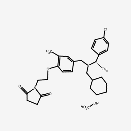 Cc1cc(CN(CC2CCCCC2)[C@@H](C)c2ccc(Cl)cc2)ccc1OCCN1C(=O)CCC1=O.O=C(O)O